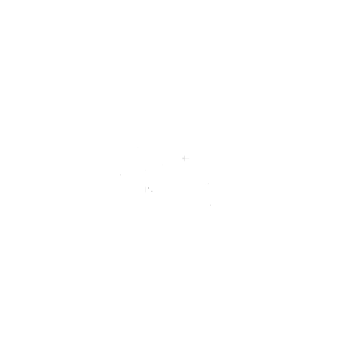 Cc1ccc(S(=O)(=O)NC(c2ccccc2)C(O)C(=O)O)cc1